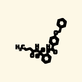 CCCC(=O)NS(=O)(=O)c1ccccc1NC(=O)c1ccc(OCc2ccccc2)cc1